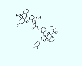 CCC(C)(C)C(=O)C(=O)N1CCCC[C@H]1C(=O)O[C@H](CCc1ccc(C)c(C)c1)c1cccc(OCC(=O)NCc2c(O)ccc3c(-c4ccccc4C(=O)O)c4ccc(=O)cc-4oc23)c1